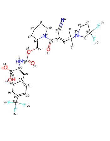 CC(C)(/C=C(\C#N)C(=O)N1CCCC[C@@H]1COC(=O)N[C@@H](Cc1ccc(C(F)(F)F)cc1)B(O)O)N1CCC(F)(F)C1